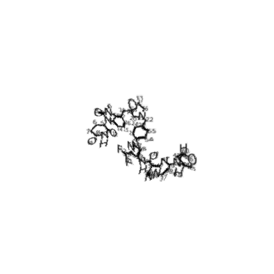 Cn1c(=O)n(C2CCC(=O)NC2=O)c2cccc(C[C@@H]3CN(Cc4ccc(-n5cc(NC(=O)c6cnn7ccc(N8C[C@H]9C[C@@H]8CO9)nc67)c(C(F)F)n5)cc4)CCO3)c21